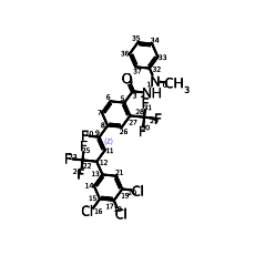 CN(NC(=O)c1ccc(/C(F)=C/C(c2cc(Cl)c(Cl)c(Cl)c2)C(F)(F)F)cc1C(F)(F)F)c1ccccc1